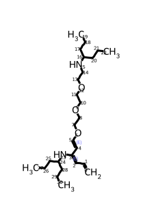 C=C/C=C(\C=C\OCCOCCOCCNC(CCC)CCC)NC(CCC)CCC